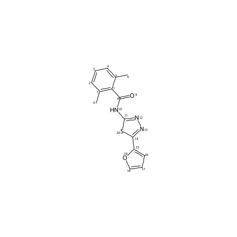 Cc1cccc(C)c1C(=O)Nc1nnc(-c2ccco2)s1